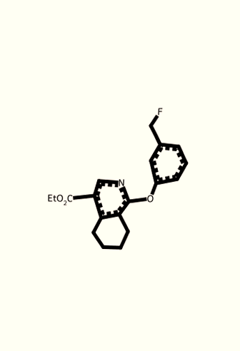 CCOC(=O)c1cnc(Oc2cccc(CF)c2)c2c1CCCC2